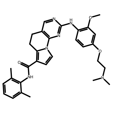 COc1cc(OCCN(C)C)ccc1Nc1ncc2c(n1)-n1ccc(C(=O)Nc3c(C)cccc3C)c1CC2